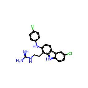 N=C(N)NCCc1c(Nc2ccc(Cl)cc2)ccc2c1[nH]c1ccc(Cl)cc12